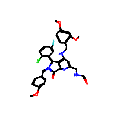 COc1ccc(CN2C(=O)c3nc(CNC=O)cc(NCc4ccc(OC)cc4OC)c3C2c2cc(F)ccc2Cl)cc1